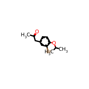 CC(=O)Cc1ccc(OC(C)C)c(Br)c1